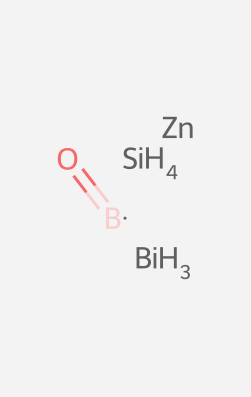 [B]=O.[BiH3].[SiH4].[Zn]